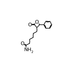 NC(=O)CCCCCC1C(=O)OC1c1ccccc1